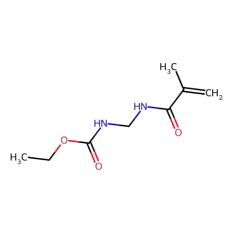 C=C(C)C(=O)NCNC(=O)OCC